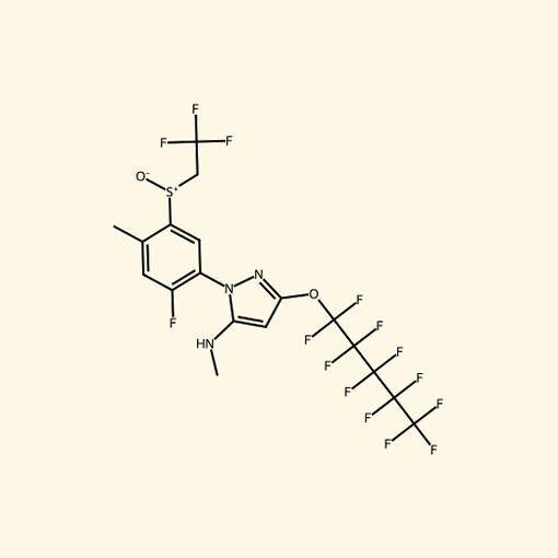 CNc1cc(OC(F)(F)C(F)(F)C(F)(F)C(F)(F)C(F)(F)F)nn1-c1cc([S+]([O-])CC(F)(F)F)c(C)cc1F